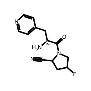 N#CC1CC(F)CN1C(=O)[C@@H](N)Cc1ccncc1